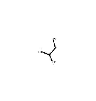 [CH2]C(C)CC(O)C(C)C